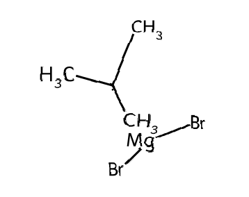 C[C](C)C.[Br][Mg][Br]